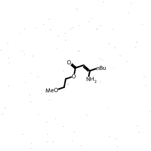 CCCCC(N)=CC(=O)OCCOC